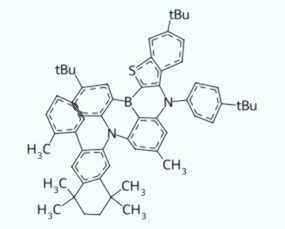 Cc1cc2c3c(c1)N(c1ccc(C(C)(C)C)cc1)c1c(sc4cc(C(C)(C)C)ccc14)B3c1cc(C(C)(C)C)ccc1N2c1cc2c(cc1-c1ccccc1C)C(C)(C)CCC2(C)C